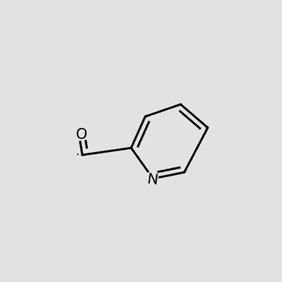 O=[C]c1ccccn1